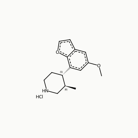 COc1cc([C@H]2CCNC[C@@H]2C)c2occc2c1.Cl